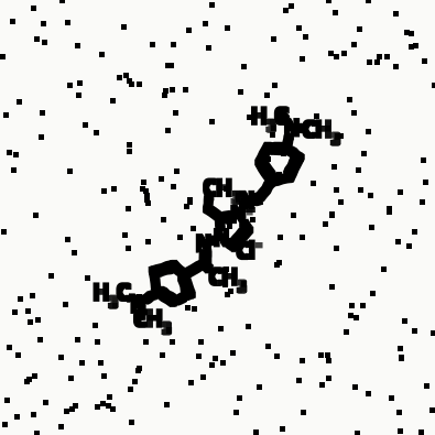 CCc1n(N=C(C)c2ccc(N(C)C)cc2)cc[n+]1N=Cc1ccc(N(C)C)cc1.[Cl-]